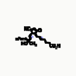 CCCCCC(C)(O)/C=C/C1C(C/C=C/CCCC(=O)O)C(=O)C[C@@H]1C#N